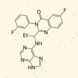 CCC(Nc1ncnc2[nH]cnc12)c1nc2ccc(F)cc2c(=O)n1-c1cccc(F)c1